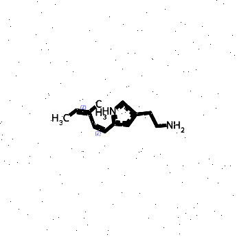 C/C=C(C)\C=C/c1cc(CCN)c[nH]1